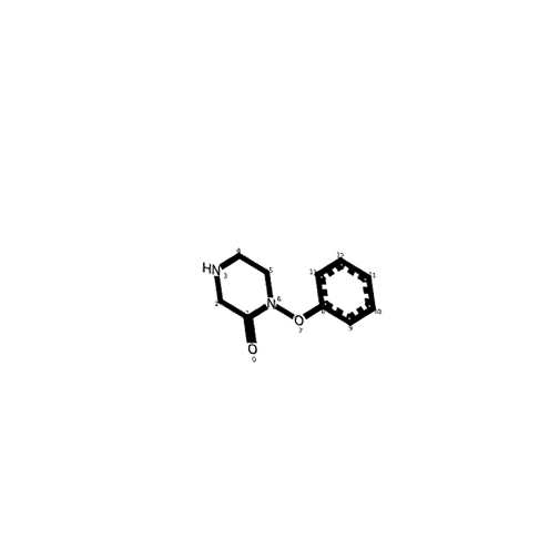 O=C1CNCCN1Oc1ccccc1